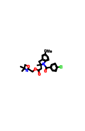 COc1ccc2c(c1)CC(C)(CC(=O)OCC1=NC(C)(C)CO1)N2C(=O)c1ccc(Cl)cc1